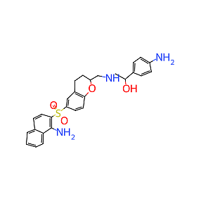 Nc1ccc(C(O)CNCC2CCc3cc(S(=O)(=O)c4ccc5ccccc5c4N)ccc3O2)cc1